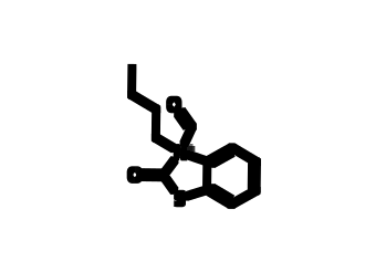 CCCC[N+]1(C=O)C(=O)Sc2ccccc21